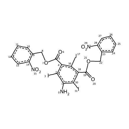 Nc1c(I)c(C(=O)OCc2ccccc2[N+](=O)[O-])c(I)c(C(=O)OCc2ccccc2[N+](=O)[O-])c1I